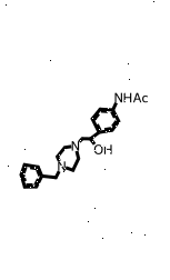 CC(=O)Nc1ccc(C(O)CN2CCN(Cc3ccccc3)CC2)cc1